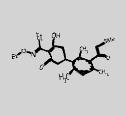 CCON=C(CC)C1=C(O)CC(c2c(C)cc(C)c(C(=O)CSC)c2C)CC1=O